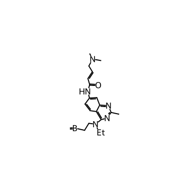 C=BCCN(CC)c1nc(C)nc2cc(NC(=O)/C=C/CN(C)C)ccc12